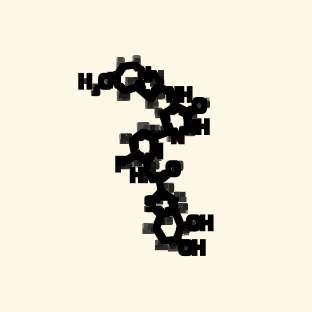 CN1CCn2nc(Nc3cc(-c4ccc(F)c(NC(=O)c5cc6c(s5)CC[C@@H](O)[C@H]6O)n4)n[nH]c3=O)cc2C1